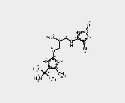 COC(CNc1n[s+]([O-])nc1N)COc1nc(C)c(C(C)(C)N)[nH]1